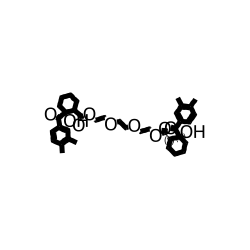 Cc1ccc(C(=O)C2(O)CCCCC2C(=O)OCCOCCOCCOC(=O)[C@H]2CCCC[C@]2(O)C(=O)c2ccc(C)c(C)c2)cc1C